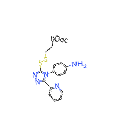 CCCCCCCCCCCCSSc1nnc(-c2ccccn2)n1-c1ccc(N)cc1